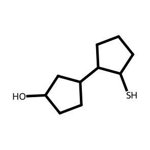 OC1CCC(C2CCCC2S)C1